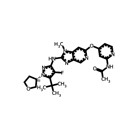 CC(=O)Nc1cc(Oc2cc3c(cn2)nc(Nc2nn([C@H]4CCOC4)c(C(C)(C)C)c2F)n3C)ccn1